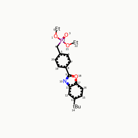 CCOP(=O)(Cc1ccc(-c2nc3cc(C(C)(C)C)ccc3o2)cc1)OCC